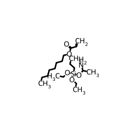 C=CC(=O)OCCCCCCCC.CCC[Si](OCC)(OCC)OC(C)N